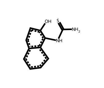 NC(=S)Nc1c(O)ccc2ccccc12